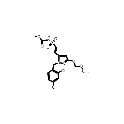 COCOc1cc(C=CS(=O)(=O)NC(=O)O)n(Cc2ccc(Cl)cc2Cl)n1